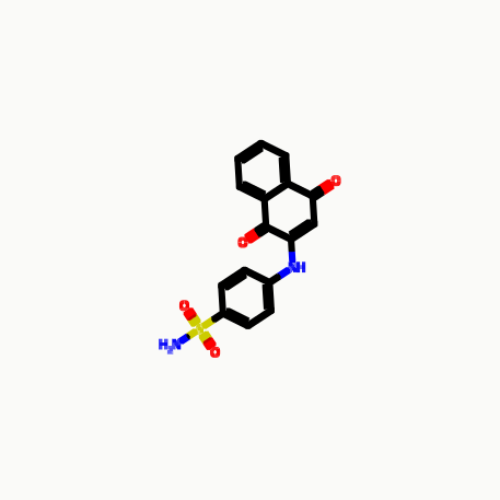 NS(=O)(=O)c1ccc(NC2=CC(=O)c3ccccc3C2=O)cc1